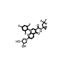 O=C(NC1(CC(F)(F)F)CC1)c1cn(-c2c(F)cc(F)cc2F)c2nc(N3C[C@@H](O)[C@H](O)C3)ccc2c1=O